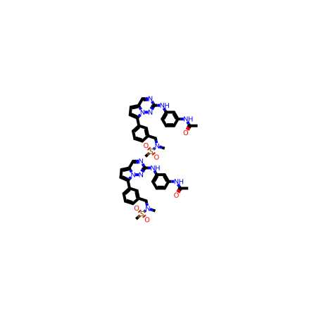 CC(=O)Nc1cccc(Nc2ncc3ccc(-c4cccc(CN(C)S(C)(=O)=O)c4)n3n2)c1.CC(=O)Nc1cccc(Nc2ncc3ccc(-c4cccc(CN(C)S(C)(=O)=O)c4)n3n2)c1